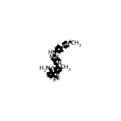 CCN1CCN(c2ccc(Nc3ncc4cc(-c5cc(-c6c(C(N)=O)cccc6C(F)(F)F)ccc5C)ncc4n3)cc2)CC1